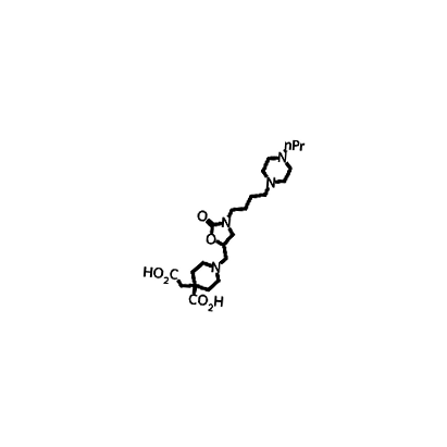 CCCN1CCN(CCCCN2CC(CN3CCC(CC(=O)O)(C(=O)O)CC3)OC2=O)CC1